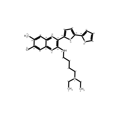 CCN(CC)CCCCNc1nc2cc(Cl)c(C)cc2nc1-c1ccc(-c2cccs2)s1